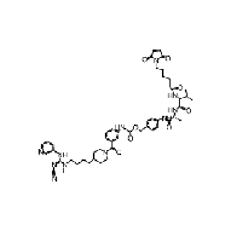 CC(C)[C@H](NC(=O)CCCCCN1C(=O)C=CC1=O)C(=O)N[C@@H](C)C(=O)Nc1ccc(COC(=O)Nc2cccc(C(=O)N3CCC(CCCCN/C(=N\C#N)Nc4cccnc4)CC3)c2)cc1